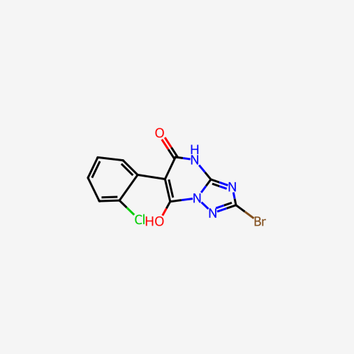 O=c1[nH]c2nc(Br)nn2c(O)c1-c1ccccc1Cl